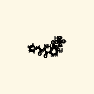 NN(C(=O)Cn1cccc1)C(=O)[C@@H]1CC[C@@H]2CN1C(=O)N2OS(=O)(=O)O